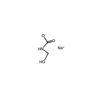 O=C([O-])NCO.[Na+]